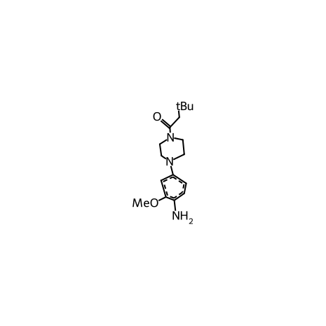 COc1cc(N2CCN(C(=O)CC(C)(C)C)CC2)ccc1N